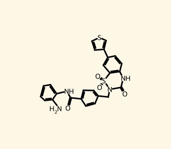 Nc1ccccc1NC(=O)c1ccc(CN2C(=O)Nc3ccc(-c4ccsc4)cc3S2(=O)=O)cc1